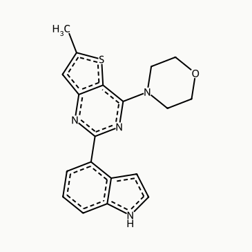 Cc1cc2nc(-c3cccc4[nH]ccc34)nc(N3CCOCC3)c2s1